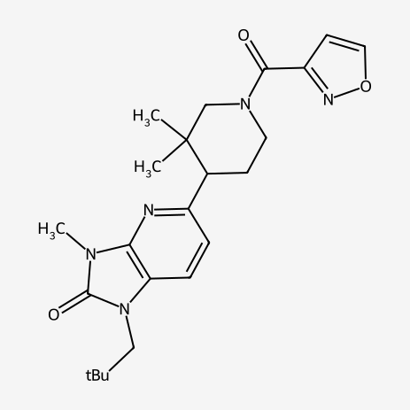 Cn1c(=O)n(CC(C)(C)C)c2ccc(C3CCN(C(=O)c4ccon4)CC3(C)C)nc21